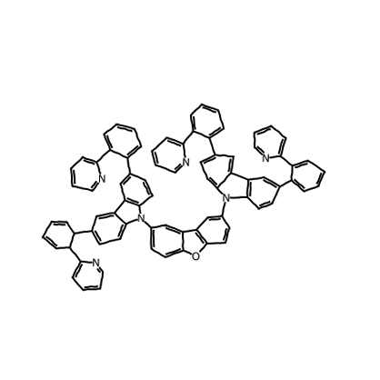 C1=CC(c2ccc3c(c2)c2cc(-c4ccccc4-c4ccccn4)ccc2n3-c2ccc3oc4ccc(-n5c6ccc(-c7ccccc7-c7ccccn7)cc6c6cc(-c7ccccc7-c7ccccn7)ccc65)cc4c3c2)C(c2ccccn2)C=C1